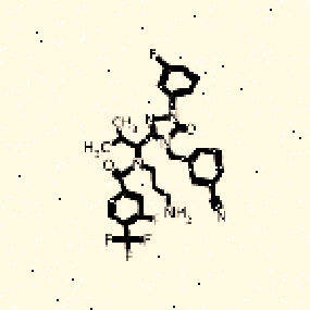 CC(C)C(c1nn(-c2cccc(F)c2)c(=O)n1Cc1cccc(C#N)c1)N(CCCN)C(=O)c1ccc(C(F)(F)F)c(F)c1